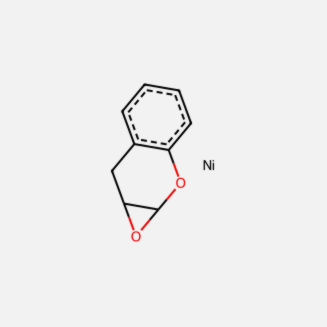 [Ni].c1ccc2c(c1)CC1OC1O2